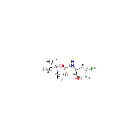 CC(C)(C)OC(=O)N[C@H](CO)CC(F)F